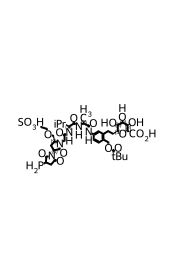 CC(C)[C@H](NC(=O)CN1C(=O)[C@@H](N2C(=O)CC(P)C2=O)C[C@H]1COCCS(=O)(=O)O)C(=O)N[C@@H](C)C(=O)Nc1ccc(COC(=O)C(C)(C)C)c(CC[C@@H]2O[C@H](C(=O)O)[C@@H](O)[C@H](O)[C@H]2O)c1